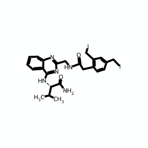 CC(C)[C@H](Nc1nc(CNC(=O)Cc2ccc(CI)cc2CI)nc2ccccc12)C(N)=O